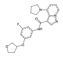 O=C(Nc1cc(F)cc(OC2CCOC2)c1)c1cnn2cccc(N3CCCC3)c12